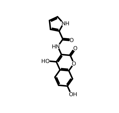 O=C(Nc1c(O)c2ccc(O)cc2oc1=O)c1ccc[nH]1